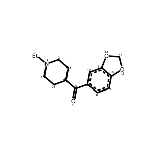 [CH2]CN1CCC(C(=O)c2ccc3c(c2)OCO3)CC1